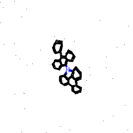 c1ccc(-c2c3ccccc3c(-n3c4cccc5c6ccccc6c6cccc3c6c54)c3ccccc23)cc1